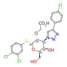 O=C(O)CO[C@@H]1[C@@H](n2cc(-c3ccc(Cl)cc3)nn2)[C@@H](O)[C@@H](CO)O[C@@H]1Sc1ccc(Cl)c(Cl)c1